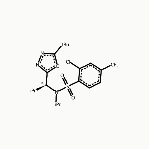 CC(C)[C@@H](c1nnc(C(C)(C)C)o1)N(C(C)C)S(=O)(=O)c1ccc(C(F)(F)F)cc1Cl